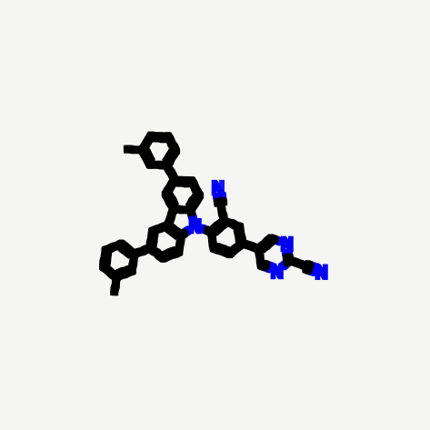 Cc1cccc(-c2ccc3c(c2)c2cc(-c4cccc(C)c4)ccc2n3-c2ccc(-c3cnc(C#N)nc3)cc2C#N)c1